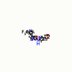 Cc1nn(CC(=O)Nc2ccc(C3=CCOCC3)cn2)c(C)c1-c1ccnc(C(F)(F)F)c1